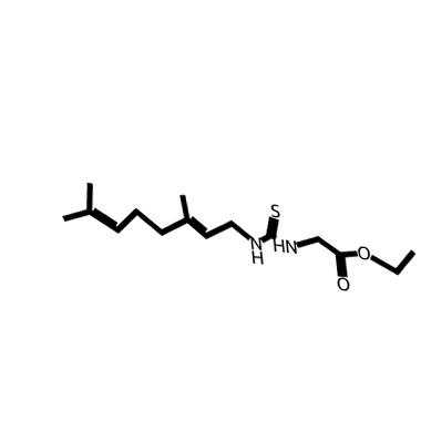 CCOC(=O)CNC(=S)NC/C=C(\C)CCC=C(C)C